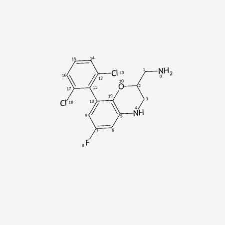 NCC1CNc2cc(F)cc(-c3c(Cl)cccc3Cl)c2O1